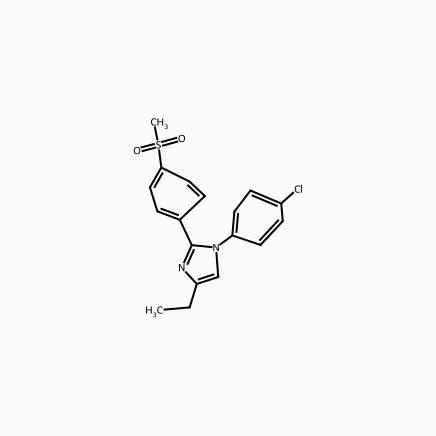 CCc1cn(-c2ccc(Cl)cc2)c(-c2ccc(S(C)(=O)=O)cc2)n1